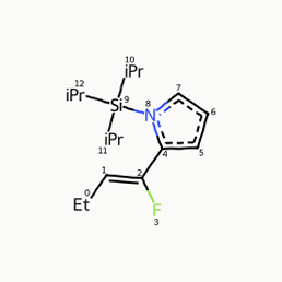 CC/C=C(\F)c1cccn1[Si](C(C)C)(C(C)C)C(C)C